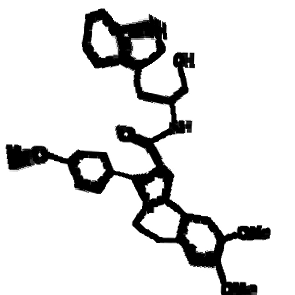 COc1ccc(-c2c(C(=O)NC(CO)Cc3c[nH]c4ccccc34)cc3n2CCc2cc(OC)c(OC)cc2-3)cc1